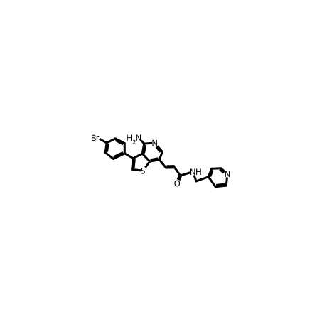 Nc1ncc(C=CC(=O)NCc2ccncc2)c2scc(-c3ccc(Br)cc3)c12